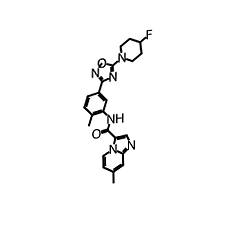 Cc1ccn2c(C(=O)Nc3cc(-c4noc(N5CCC(F)CC5)n4)ccc3C)cnc2c1